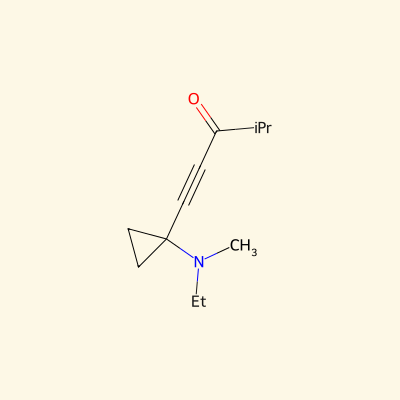 CCN(C)C1(C#CC(=O)C(C)C)CC1